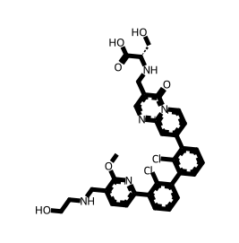 COc1nc(-c2cccc(-c3cccc(-c4ccn5c(=O)c(CN[C@@H](CO)C(=O)O)cnc5c4)c3Cl)c2Cl)ccc1CNCCO